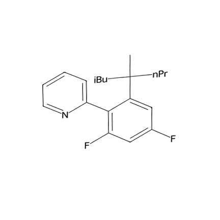 CCCC(C)(c1cc(F)cc(F)c1-c1ccccn1)C(C)CC